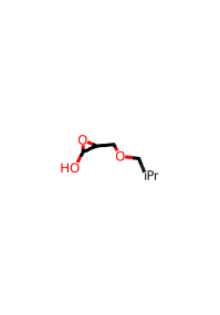 CC(C)COCC1OC1O